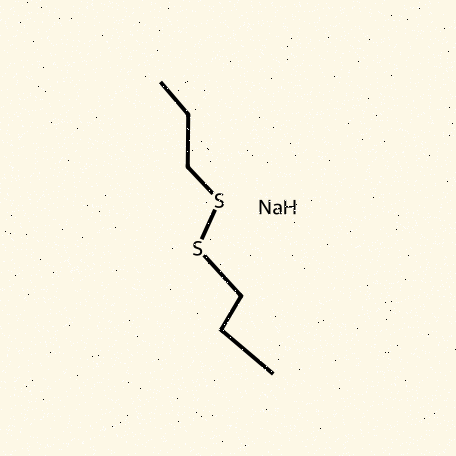 CCCSSCCC.[NaH]